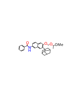 COC(C)OCOc1cc2ccc(NC(=O)c3ccccc3)cc2cc1C12CC3CC(CC(C3)C1)C2